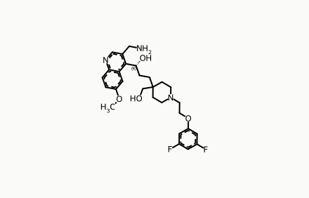 COc1ccc2ncc(CN)c([C@H](O)CCC3(CO)CCN(CCOc4cc(F)cc(F)c4)CC3)c2c1